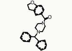 O=C(c1ccc2c(c1)CCO2)N1CCN(C(c2ccccc2)c2ccccc2)CC1